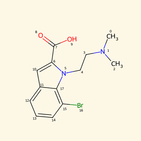 CN(C)CCn1c(C(=O)O)cc2cccc(Br)c21